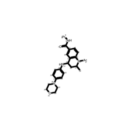 CC(=O)N1c2ccc(C(=O)NC(C)C)cc2C(Nc2ccc(N3CCOCC3)cc2)CC1C